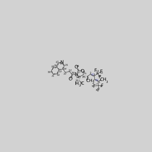 C=C(/C=C(\C=C(/C)C(F)(F)F)C(F)(F)F)[C@H]1OC(=O)N(C(=O)CCc2cncc3ccccc23)[C@H]1CC